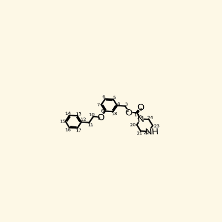 O=C(OCc1cccc(OCCc2ccccc2)c1)N1CCNCC1